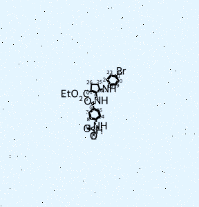 CCOC(=O)C1=C(NC(=O)c2ccc(N[SH](=O)=O)cc2)C(Nc2ccc(Br)cc2)CC1